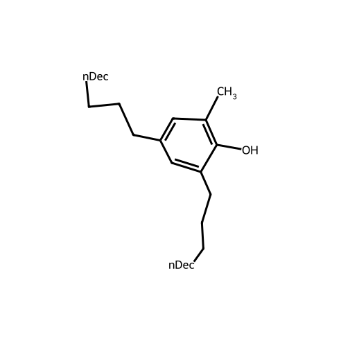 CCCCCCCCCCCCCc1cc(C)c(O)c(CCCCCCCCCCCCC)c1